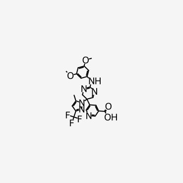 COc1cc(NC2=NCC(c3cncc(C(=O)O)c3)(n3nc(C(F)(F)F)cc3C)C=N2)cc(OC)c1